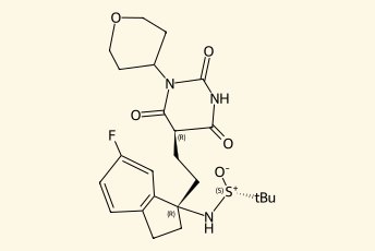 CC(C)(C)[S@@+]([O-])N[C@]1(CC[C@@H]2C(=O)NC(=O)N(C3CCOCC3)C2=O)CCc2ccc(F)cc21